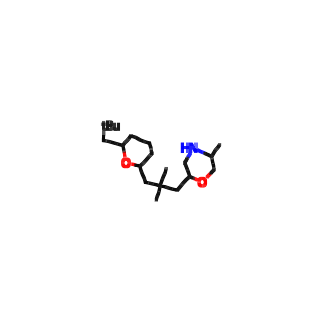 CC1COC(CC(C)(C)CC2CCCC(CC(C)(C)C)O2)CN1